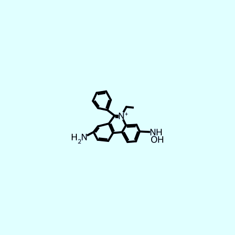 CC[n+]1c(-c2ccccc2)c2cc(N)ccc2c2ccc(NO)cc21